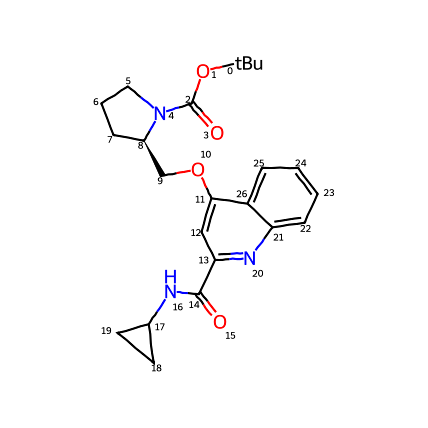 CC(C)(C)OC(=O)N1CCC[C@@H]1COc1cc(C(=O)NC2CC2)nc2ccccc12